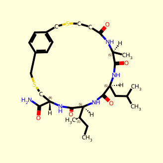 CC[C@H](C)[C@@H]1NC(=O)[C@H](CC(C)C)NC(=O)[C@H](C)NC(=O)CCSCc2ccc(cc2)CSC[C@@H](C(N)=O)NC1=O